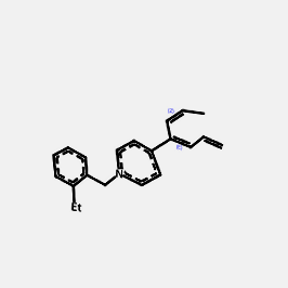 C=C/C=C(\C=C/C)c1cc[n+](Cc2ccccc2CC)cc1